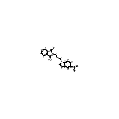 O=C1c2ccccc2C(=O)N1CCCn1ccc2cc([N+](=O)[O-])ccc21